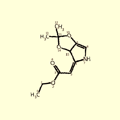 CCOC(=O)C=C1NC=C2OC(C)(C)OC12